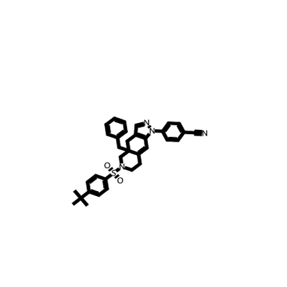 CC(C)(C)c1ccc(S(=O)(=O)N2CCC3=Cc4c(cnn4-c4ccc(C#N)cc4)CC3(Cc3ccccc3)C2)cc1